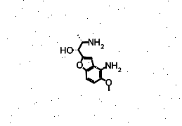 COc1ccc2oc([C@H](O)[C@H](C)N)cc2c1N